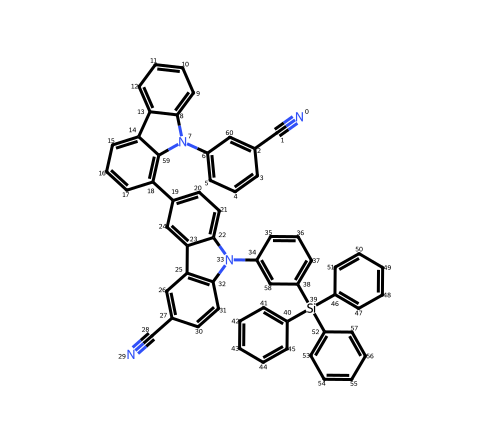 N#Cc1cccc(-n2c3ccccc3c3cccc(-c4ccc5c(c4)c4cc(C#N)ccc4n5-c4cccc([Si](c5ccccc5)(c5ccccc5)c5ccccc5)c4)c32)c1